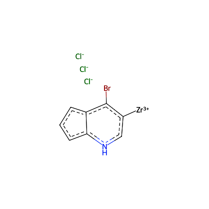 Brc1[c]([Zr+3])c[nH]c2cccc1-2.[Cl-].[Cl-].[Cl-]